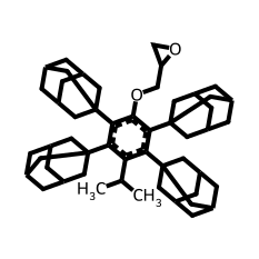 CC(C)c1c(C23CC4CC(CC(C4)C2)C3)c(C23CC4CC(CC(C4)C2)C3)c(OCC2CO2)c(C23CC4CC(CC(C4)C2)C3)c1C12CC3CC(CC(C3)C1)C2